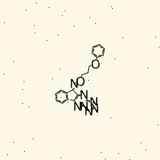 c1ccc(OCCCON=C2c3ccccc3-c3nn4nnnc4nc32)cc1